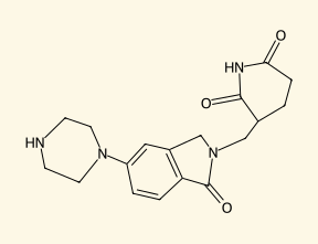 O=C1CCC(CN2Cc3cc(N4CCNCC4)ccc3C2=O)C(=O)N1